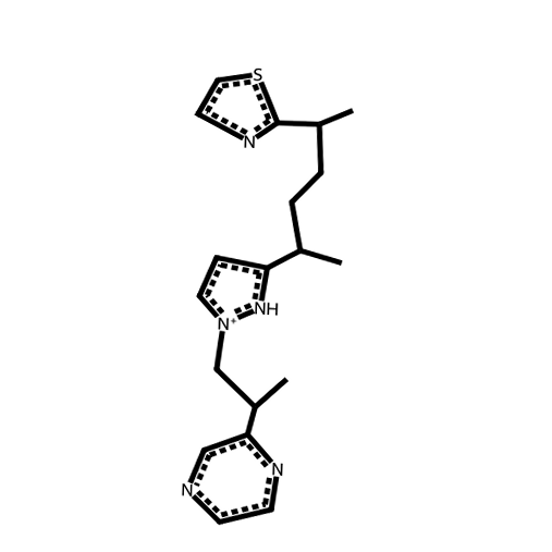 CC(C[n+]1ccc(C(C)CCC(C)c2nccs2)[nH]1)c1cnccn1